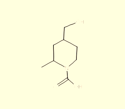 CC1CC(CO)CCN1C(=O)O